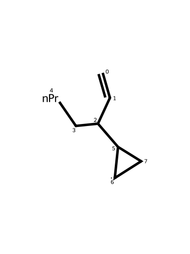 C=CC(CCCC)C1[CH]C1